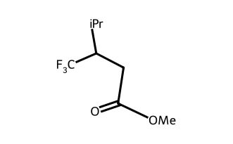 COC(=O)CC(C(C)C)C(F)(F)F